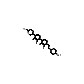 CCCC1CCC(CCc2ccc(-c3ccc(C4CCC(CCC)OC4)c(F)c3F)c(F)c2F)CC1